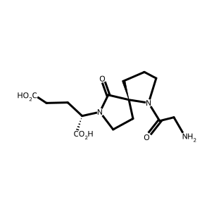 NCC(=O)N1CCC[C@]12CCN([C@@H](CCC(=O)O)C(=O)O)C2=O